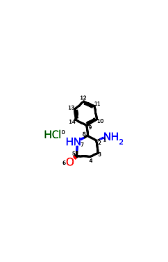 Cl.N[C@H]1CCC(=O)NC1c1ccccc1